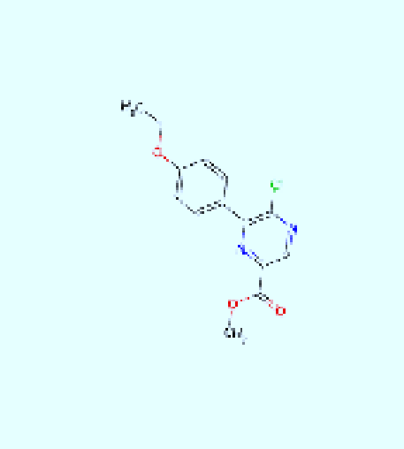 CCOc1ccc(-c2nc(C(=O)OC)cnc2Cl)cc1